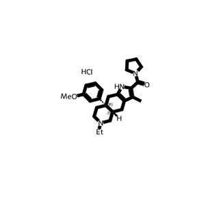 CCN1CC[C@@]2(c3cccc(OC)c3)Cc3[nH]c(C(=O)N4CCCC4)c(C)c3C[C@@H]2C1.Cl